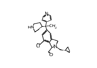 CC(c1ccncc1)(c1cc(Cl)c2c(c1)CN(CC1CC1)C2C=O)C1CCNCC1